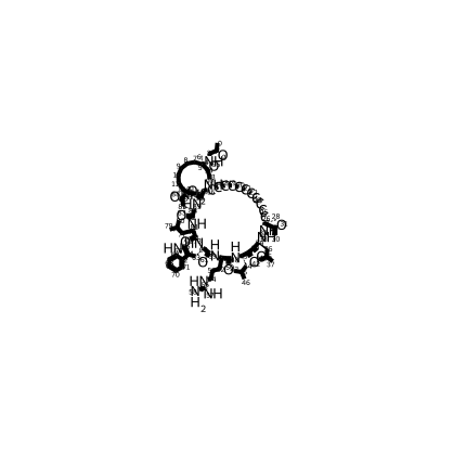 CC(=O)CN[C@]1(C)CCCCCCCC[C@@]2(CCCCCCCCCCC[C@@](C)(C(C)=O)NN[C@@H](CC(C)C)C(=O)C(=O)[C@H](CC(C)C)NC(=O)C(CCCNC(=N)N)NC(=O)[C@H](Cc3c[nH]c4ccccc34)NC(=O)C(CC(C)C)NC(=O)[C@H](CC(N)=O)NC2=O)NCC1=O